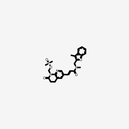 Cc1c(CN(C)C(=O)/C=C/c2cnc3c(c2)CCC(=O)N3COP(C)(C)=O)oc2ccccc12